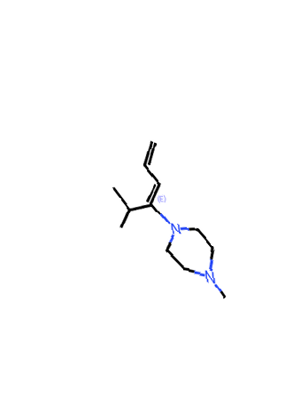 C=C/C=C(\C(C)C)N1CCN(C)CC1